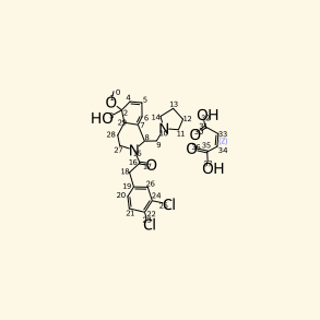 COC1(O)C=CC=C2C(CN3CCCC3)N(C(=O)Cc3ccc(Cl)c(Cl)c3)CCC21.O=C(O)/C=C\C(=O)O